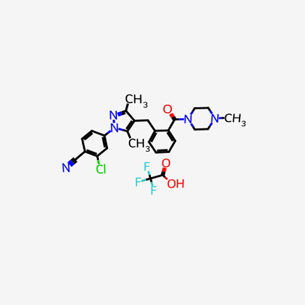 Cc1nn(-c2ccc(C#N)c(Cl)c2)c(C)c1Cc1ccccc1C(=O)N1CCN(C)CC1.O=C(O)C(F)(F)F